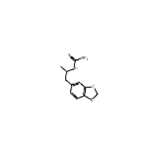 CC(Cc1ccc2c(c1)OCO2)NC(N)=O